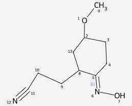 COC1CC/C(=N\O)C(CCC#N)C1